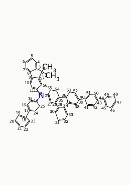 CC1(C)c2ccccc2-c2ccc(N(C3=CC=C(c4ccccc4)CC3)C3=CC(c4ccccc4)=C(C4C=CC(c5ccc(-c6ccccc6)cc5)=CC4)CC3)cc21